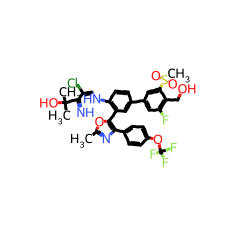 Cc1nc(-c2ccc(OC(F)(F)F)cc2)c(-c2cc(-c3cc(F)c(CO)c(S(C)(=O)=O)c3)ccc2N/C=C(/Cl)C(=N)C(C)(C)O)o1